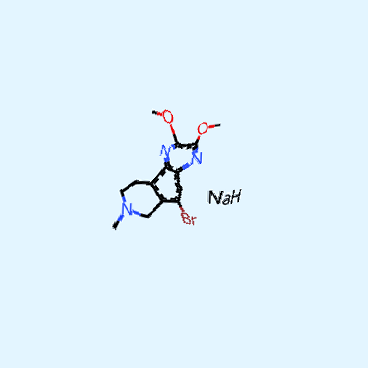 COc1nc2cc(Br)c3c(c2nc1OC)CCN(C)C3.[NaH]